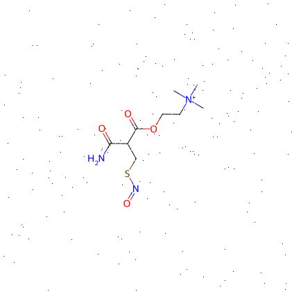 C[N+](C)(C)CCOC(=O)C(CSN=O)C(N)=O